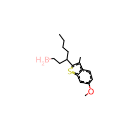 BCCC(CCCC)c1sc2cc(OC)ccc2c1C